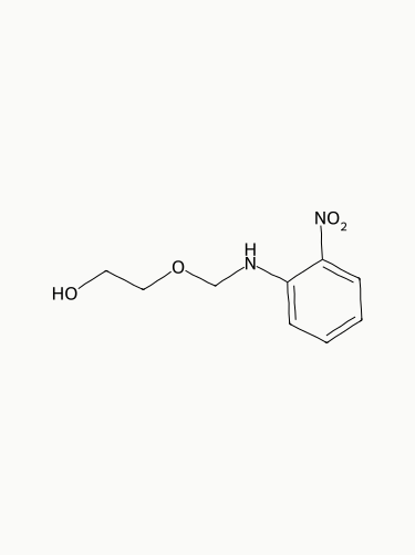 O=[N+]([O-])c1ccccc1NCOCCO